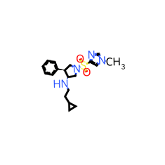 Cn1cnc(S(=O)(=O)N2C[C@H](NCCC3CC3)[C@@H](c3ccccc3)C2)c1